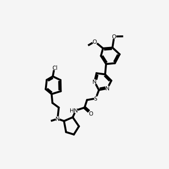 COc1ccc(-c2cnc(SCC(=O)NC3CCCC3N(C)CCc3ccc(Cl)cc3)nc2)cc1OC